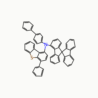 c1ccc(-c2ccc(N(c3cccc4c3-c3ccccc3C43c4ccccc4-c4ccccc43)c3ccc(-c4ccccc4)c4sc5ccccc5c34)cc2)cc1